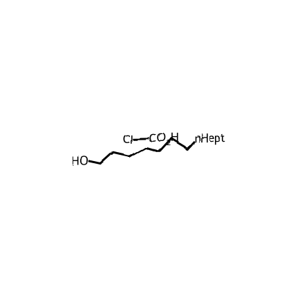 CCCCCCCCCCCCCCO.O=C(O)Cl